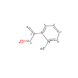 C=C(C=O)c1ccccc1F